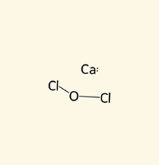 ClOCl.[Ca]